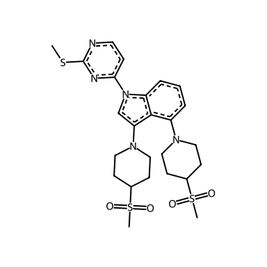 CSc1nccc(-n2cc(N3CCC(S(C)(=O)=O)CC3)c3c(N4CCC(S(C)(=O)=O)CC4)cccc32)n1